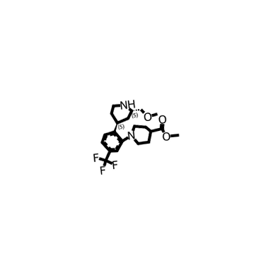 COC[C@@H]1C[C@@H](c2ccc(C(F)(F)F)cc2N2CCC(C(=O)OC)CC2)CCN1